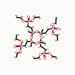 CCOP(=O)(CC[Si]1(C)O[Si](C)(CCP(=O)(OCC)OCC)O[Si](C)(CCP(=O)(OCC)OCC)O[Si](C)(CCP(=O)(OCC)OCC)O1)OCC